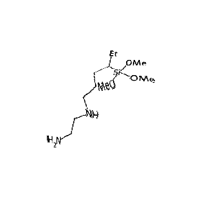 CCC(CCCNCCN)[Si](OC)(OC)OC